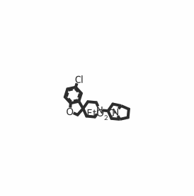 CCOC(=O)N1C2CCC1CC(N1CCC3(CC1)COc1ccc(Cl)cc13)C2